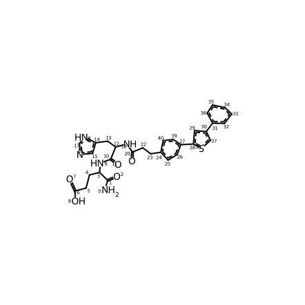 NC(=O)C(CCC(=O)O)NC(=O)C(Cc1cnc[nH]1)NC(=O)CCc1ccc(-c2cc(-c3ccccc3)cs2)cc1